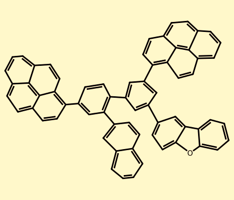 c1ccc2cc(-c3cc(-c4ccc5ccc6cccc7ccc4c5c67)ccc3-c3cc(-c4ccc5oc6ccccc6c5c4)cc(-c4ccc5ccc6cccc7ccc4c5c67)c3)ccc2c1